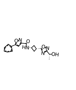 C[C@@H](O)c1noc([C@H]2C[C@@H](NC(=O)c3cc(-c4ccccc4)on3)C2)n1